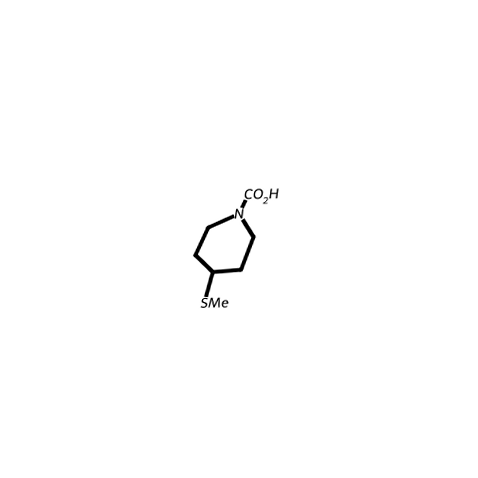 CSC1CCN(C(=O)O)CC1